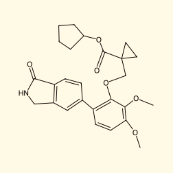 COc1ccc(-c2ccc3c(c2)CNC3=O)c(OCC2(C(=O)OC3CCCC3)CC2)c1OC